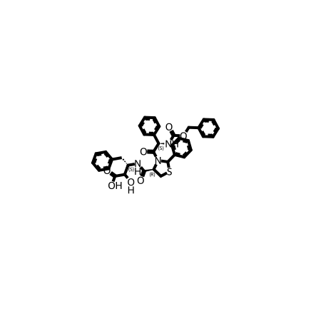 O=C(N[C@H](C(=O)N1C(c2ccccc2)SC[C@H]1C(=O)N[C@@H](Cc1ccccc1)C(O)C(=O)O)c1ccccc1)OCc1ccccc1